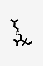 C=CC(C)(C)/C(=C/OCC=C(C)C)C(=C)C